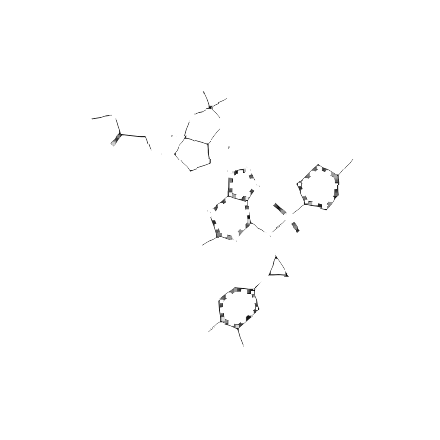 COC(=O)CO[C@H]1C[C@@H](n2nnc3c(N([C@@H]4C[C@H]4c4ccc(F)c(F)c4)S(=O)(=O)c4ccc(C)cc4)nc(C)nc32)[C@@H]2OC(C)(C)O[C@@H]21